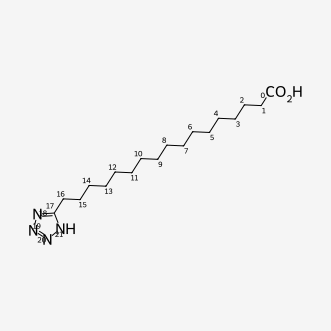 O=C(O)CCCCCCCCCCCCCCCCc1nnn[nH]1